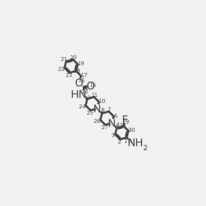 Nc1ccc(N2CCC(N3CCC(NC(=O)OCc4ccccc4)CC3)CC2)c(F)c1